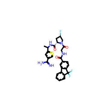 CC(NC(=O)[C@@H]1C[C@@H](F)CN1C(=O)CNC(=O)c1ccc2c(c1)-c1ccccc1C2(F)F)c1cc(C(=N)N)cs1